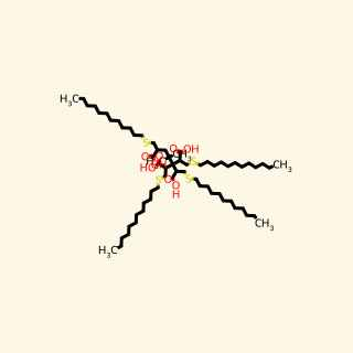 CCCCCCCCCCCCSCC(CC(C)(C)C(C(CSCCCCCCCCCCCC)C(=O)O)(C(CSCCCCCCCCCCCC)C(=O)O)C(CSCCCCCCCCCCCC)C(=O)O)C(=O)O